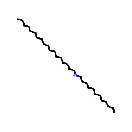 CCCCCCCCCCCCCCCCCCNCCCCCCCCCCCC